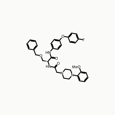 COc1ccccc1N1CCN(CC(=O)N[C@@H](COCc2ccccc2)C(=O)Nc2ccc(Oc3ccc(F)cc3)cc2)CC1